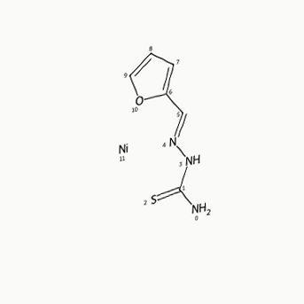 NC(=S)NN=Cc1ccco1.[Ni]